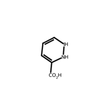 O=C(O)C1=CC=C[IH]N1